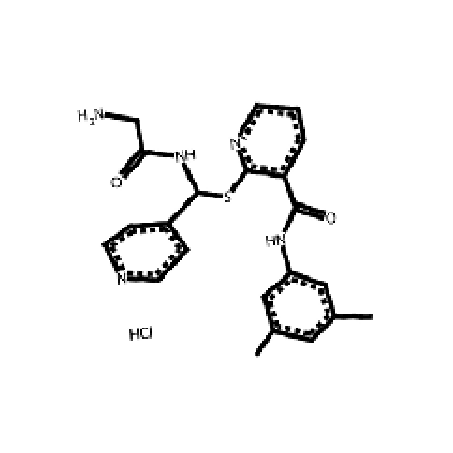 Cc1cc(C)cc(NC(=O)c2cccnc2SC(NC(=O)CN)c2ccncc2)c1.Cl